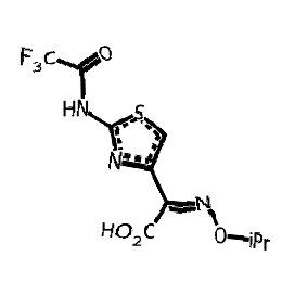 CC(C)ON=C(C(=O)O)c1csc(NC(=O)C(F)(F)F)n1